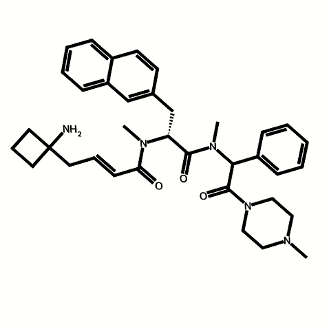 CN1CCN(C(=O)C(c2ccccc2)N(C)C(=O)[C@@H](Cc2ccc3ccccc3c2)N(C)C(=O)/C=C/CC2(N)CCC2)CC1